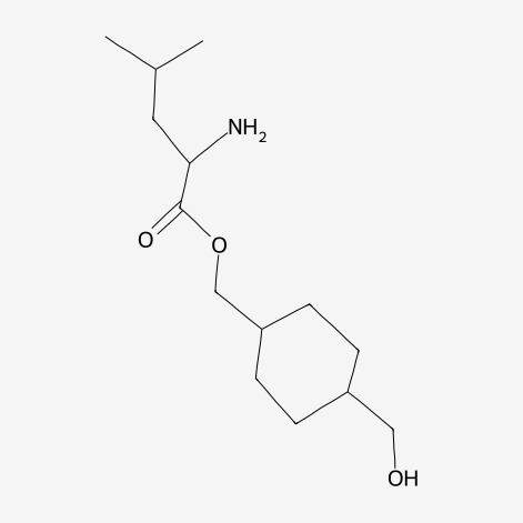 CC(C)CC(N)C(=O)OCC1CCC(CO)CC1